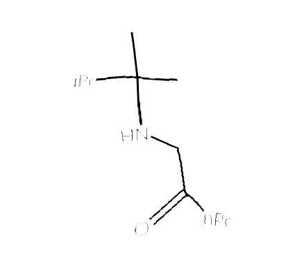 CCCC(=O)CNC(C)(C)C(C)C